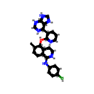 Cc1ccc2c(Nc3ccc(Cl)cc3)nccc2c1Oc1ncccc1-c1ncnc2[nH]cnc12